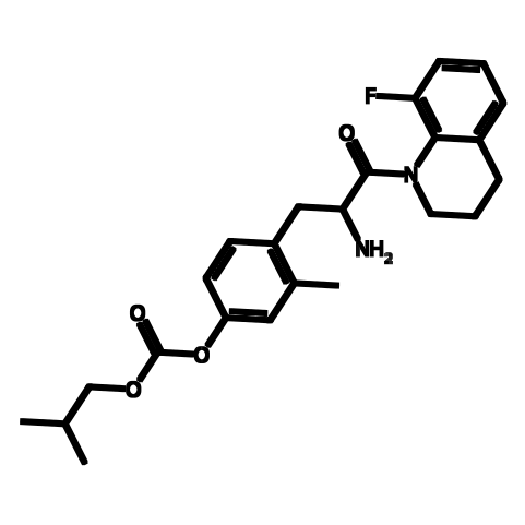 Cc1cc(OC(=O)OCC(C)C)ccc1CC(N)C(=O)N1CCCc2cccc(F)c21